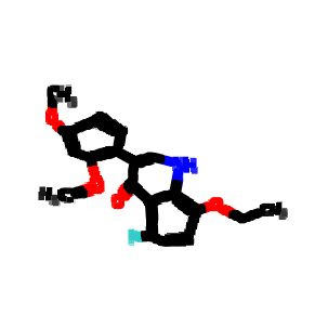 CCOc1ccc(F)c2c(=O)c(-c3ccc(OC)cc3OC)c[nH]c12